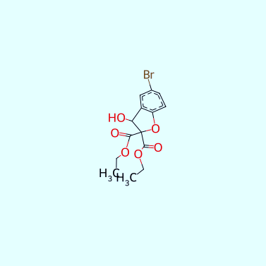 CCOC(=O)C1(C(=O)OCC)Oc2ccc(Br)cc2C1O